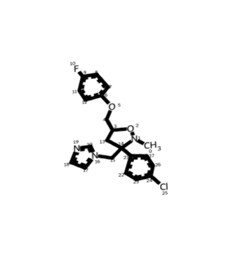 CN1OC(COc2ccc(F)cc2)CC1(Cn1ccnc1)c1ccc(Cl)cc1